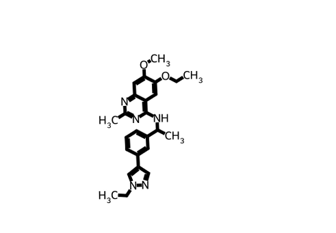 CCOc1cc2c(NC(C)c3cccc(-c4cnn(CC)c4)c3)nc(C)nc2cc1OC